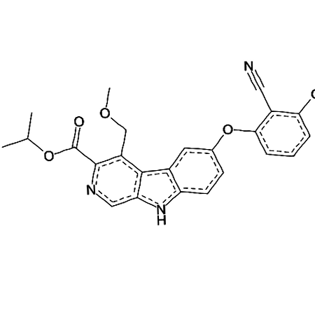 COCc1c(C(=O)OC(C)C)ncc2[nH]c3ccc(Oc4cccc(Cl)c4C#N)cc3c12